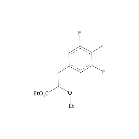 CCOC(=O)/C(=C/c1cc(F)c(C)c(F)c1)OCC